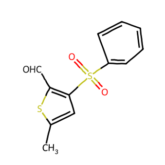 Cc1cc(S(=O)(=O)c2ccccc2)c(C=O)s1